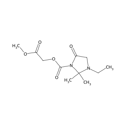 CCN1CC(=O)N(C(=O)OCC(=O)OC)C1(C)C